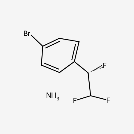 FC(F)[C@@H](F)c1ccc(Br)cc1.N